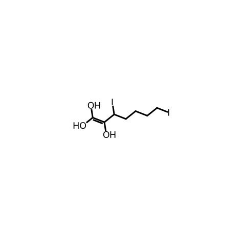 OC(O)=C(O)C(I)CCCCI